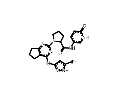 CC(C)c1cc(Nc2nc(N3CCCC3C(=O)Nc3ccc(=O)[nH]c3)nc3c2CCC3)n[nH]1